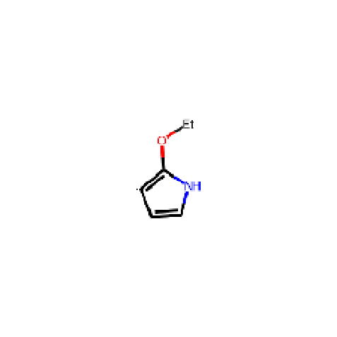 CCOc1[c]cc[nH]1